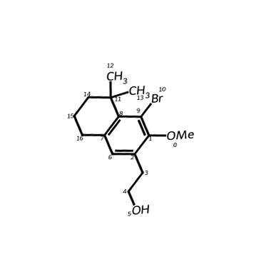 COc1c(CCO)cc2c(c1Br)C(C)(C)CCC2